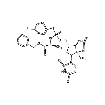 C[C@H](NP(=O)(OC[C@H]1CC(n2ccc(=O)[nH]c2=O)[C@](C)(N=[N+]=[N-])[C@@H]1O)Oc1ccc(F)cc1)C(=O)OCc1ccccc1